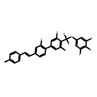 Cc1ccc(/C=C/c2ccc(-c3cc(F)c(C(F)(F)Oc4cc(F)c(F)c(F)c4)c(F)c3)c(F)c2)cc1